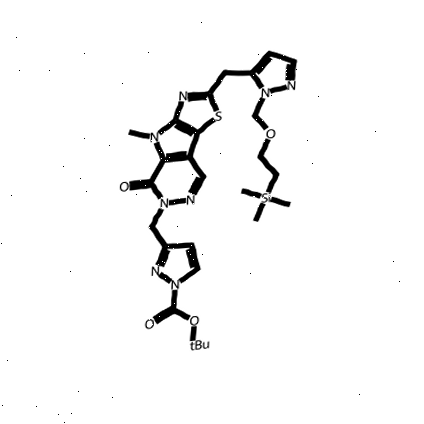 Cn1c2nc(Cc3ccnn3COCC[Si](C)(C)C)sc2c2cnn(Cc3ccn(C(=O)OC(C)(C)C)n3)c(=O)c21